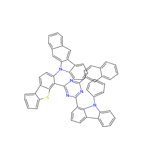 c1ccc(-n2c3ccccc3c3cccc(-c4nc(-c5ccc6ccccc6c5)nc(-c5c(-n6c7ccccc7c7cc8ccccc8cc76)ccc6c5sc5ccccc56)n4)c32)cc1